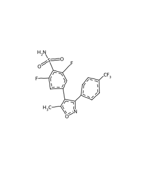 Cc1onc(-c2ccc(C(F)(F)F)cc2)c1-c1cc(F)c(S(N)(=O)=O)c(F)c1